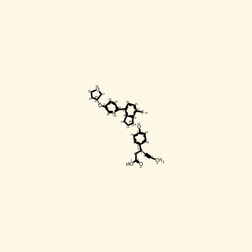 CC#C[C@@H](CC(=O)O)c1ccc(O[C@@H]2CCc3c(-c4ccc(O[C@@H]5CCOC5)cn4)ccc(F)c32)cc1